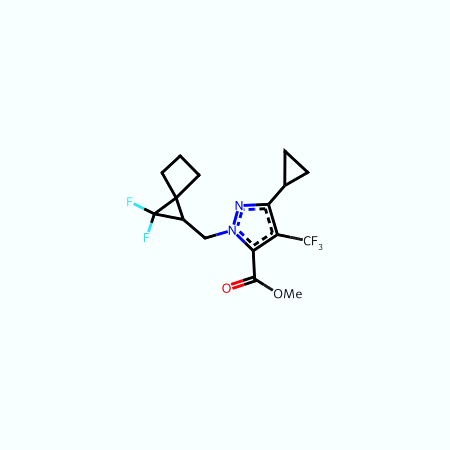 COC(=O)c1c(C(F)(F)F)c(C2CC2)nn1CC1C(F)(F)C12CCC2